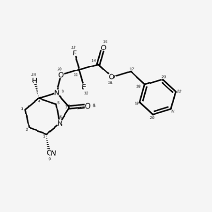 N#C[C@@H]1CC[C@@H]2CN1C(=O)N2OC(F)(F)C(=O)OCc1ccccc1